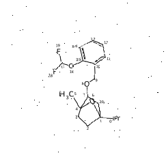 CC(C)C12CCC(C)(O1)C(OCc1ccccc1OC(F)F)C2